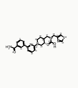 NC(=O)c1cccc(-c2cccc(N3CCC(CN(Cc4cscn4)C(=O)O)CC3)n2)c1